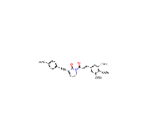 COc1ccc(C#CC2=CCCN(C(=O)C=Cc3cc(OC)c(OC)c(OC)c3)C2=O)cc1